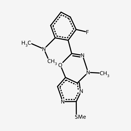 CSc1ncc2c(n1)N(C)N=C(c1c(F)cccc1N(C)C)O2